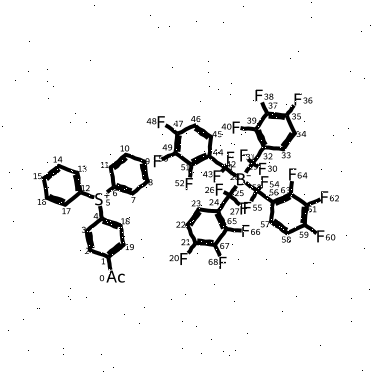 CC(=O)c1ccc([S+](c2ccccc2)c2ccccc2)cc1.Fc1ccc(C(F)(F)[B-](C(F)(F)c2ccc(F)c(F)c2F)(C(F)(F)c2ccc(F)c(F)c2F)C(F)(F)c2ccc(F)c(F)c2F)c(F)c1F